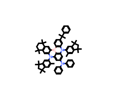 Cc1cc2c(cc1N1c3cc(C(C)(C)c4ccccc4)ccc3B3c4cc5c(cc4N(c4cc6c(cc4C)C(C)(C)CC6(C)C)c4cc(N(c6ccccc6)c6ccccc6)cc1c43)C(C)(C)CCC5(C)C)C(C)(C)CC2(C)C